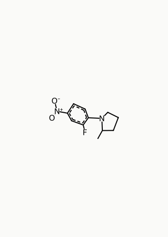 CC1CCCN1c1ccc([N+](=O)[O-])cc1F